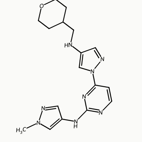 Cn1cc(Nc2nccc(-n3cc(NCC4CCOCC4)cn3)n2)cn1